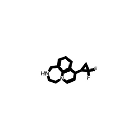 FC1(F)CC1C1C=CN2CCNCC3=CCCC1=C32